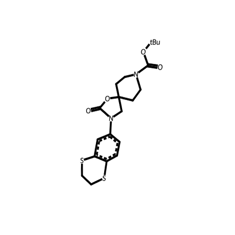 CC(C)(C)OC(=O)N1CCC2(CC1)CN(c1ccc3c(c1)SCCS3)C(=O)O2